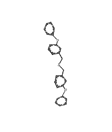 c1ccc(Oc2cccc(CSCc3cccc(Oc4ccccc4)c3)c2)cc1